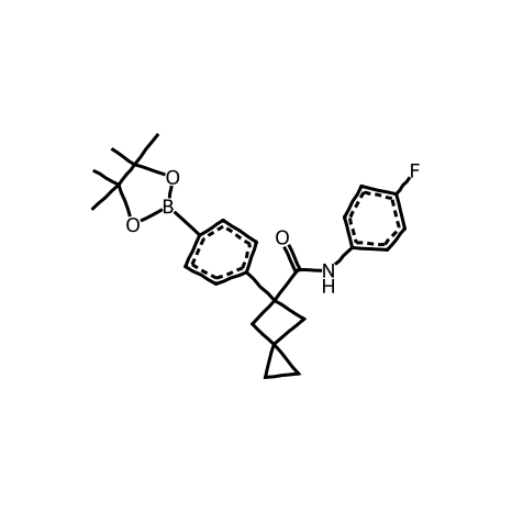 CC1(C)OB(c2ccc(C3(C(=O)Nc4ccc(F)cc4)CC4(CC4)C3)cc2)OC1(C)C